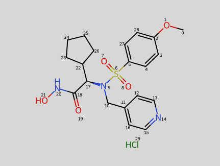 COc1ccc(S(=O)(=O)N(Cc2ccncc2)[C@@H](C(=O)NO)C2CCCC2)cc1.Cl